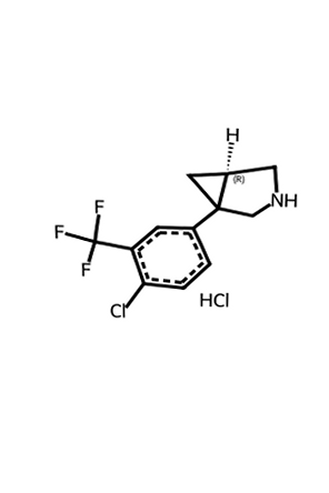 Cl.FC(F)(F)c1cc(C23CNC[C@@H]2C3)ccc1Cl